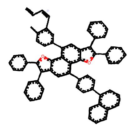 C=C/C=C\c1cc(-c2cc3c(-c4ccccc4)c(-c4ccccc4)oc3c3c(-c4ccc(-c5cccc6ccccc56)cc4)cc4c(-c5ccccc5)c(-c5ccccc5)oc4c23)ccc1C